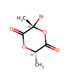 C[C@@H]1OC(=O)[C@](C)(Br)OC1=O